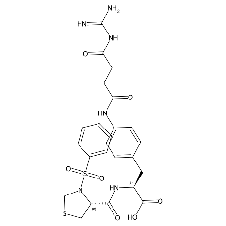 N=C(N)NC(=O)CCC(=O)Nc1ccc(C[C@H](NC(=O)[C@@H]2CSCN2S(=O)(=O)c2ccccc2)C(=O)O)cc1